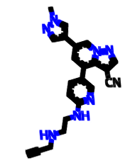 C#CCNCCNc1ccc(-c2cc(-c3cnn(C)c3)cn3ncc(C#N)c23)cn1